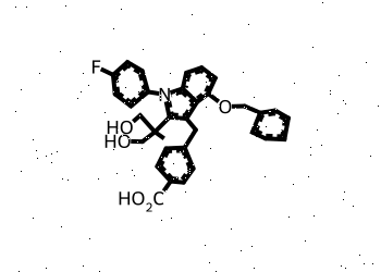 CC(CO)(CO)c1c(Cc2ccc(C(=O)O)cc2)c2c(OCc3ccccc3)cccc2n1-c1ccc(F)cc1